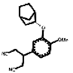 COc1ccc(C(CC#N)CC#N)cc1O[C@@H]1CC2CCC1C2